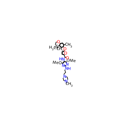 COc1nc(NCCCN2CCN(C)CC2)nc(OC)c1NC(=O)c1ccc(Oc2cc3c(cc2C)OCC[Si]3(C)C)o1